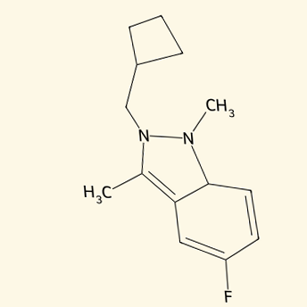 CC1=C2C=C(F)C=CC2N(C)N1CC1CCC1